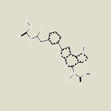 CCCCOC(=O)NC(O)Cc1cccc(-c2cc3c(nc(N(C)C(=O)OC(C)(C)C)c4ncn(C)c43)[nH]2)c1